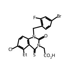 CCc1c(Cl)ccc2c1c(=S)n(CC(=O)O)c(=O)n2Cc1ccc(Br)cc1F